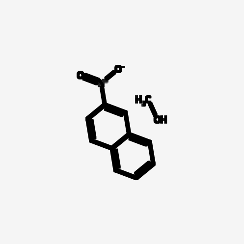 CO.O=[N+]([O-])c1ccc2ccccc2c1